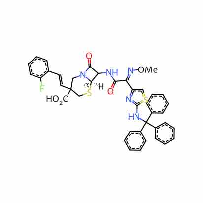 CON=C(C(=O)NC1C(=O)N2CC(C=Cc3ccccc3F)(C(=O)O)CS[C@H]12)c1csc(NC(c2ccccc2)(c2ccccc2)c2ccccc2)n1